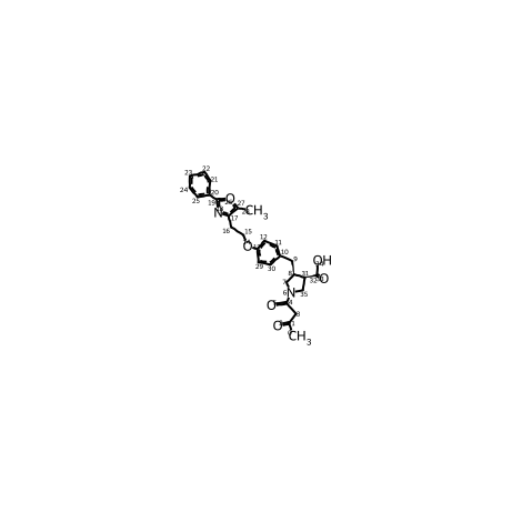 CC(=O)CC(=O)N1C[C@@H](Cc2ccc(OCCc3nc(-c4ccccc4)oc3C)cc2)[C@@H](C(=O)O)C1